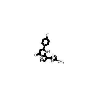 Cc1noc(-c2cnn3c(=O)cc(-c4ccc(Cl)cc4)[nH]c23)n1